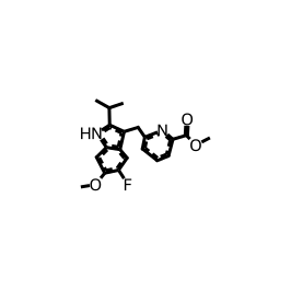 COC(=O)c1cccc(Cc2c(C(C)C)[nH]c3cc(OC)c(F)cc23)n1